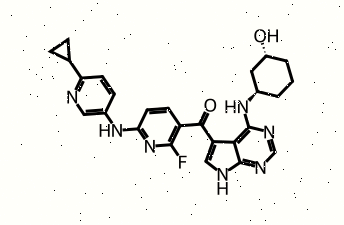 O=C(c1ccc(Nc2ccc(C3CC3)nc2)nc1F)c1c[nH]c2ncnc(N[C@@H]3CCC[C@@H](O)C3)c12